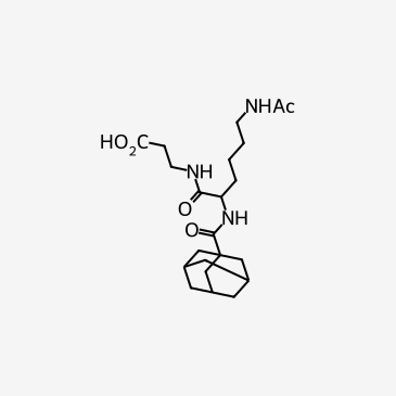 CC(=O)NCCCCC(NC(=O)C12CC3CC(CC(C3)C1)C2)C(=O)NCCC(=O)O